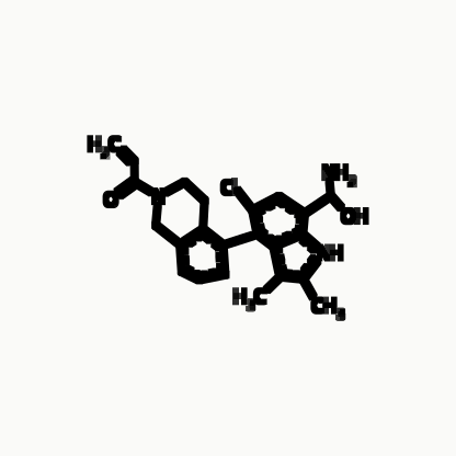 C=CC(=O)N1CCc2c(cccc2-c2c(Cl)cc(C(N)O)c3[nH]c(C)c(C)c23)C1